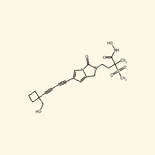 CC(CCN1Cc2cc(C#CC#CC3(CO)CCC3)cn2C1=O)(C(=O)NO)S(C)(=O)=O